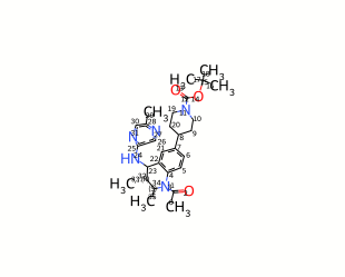 CC(=O)N1c2ccc(C3CCN(C(=O)OC(C)(C)C)CC3)cc2C(Nc2cnc(C)cn2)[C@@H](C)[C@@H]1C